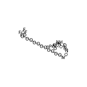 CCCN(CCC)C(=O)C1=Cc2ccc(C(=O)N3CCN(Cc4ccc(CN(C)CCOCCOCCOCCOCCOCCOCCOCCOCCOCCOCCC(=O)Oc5c(F)c(F)cc(F)c5F)cc4)CC3)cc2N=C(N)C1